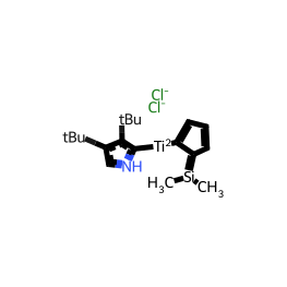 C[Si](C)=C1C=CC=[C]1[Ti+2][c]1[nH]cc(C(C)(C)C)c1C(C)(C)C.[Cl-].[Cl-]